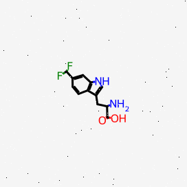 NC(Cc1c[nH]c2cc(C(F)F)ccc12)C(=O)O